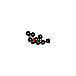 c1ccc(-c2ccc3c4ccc(-c5ccccc5)cc4n(-c4ccccc4-c4cccc(N(c5ccccc5)c5cccc6c5oc5ccccc56)c4)c3c2)cc1